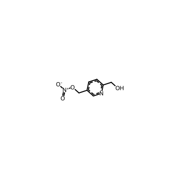 O=[N+]([O-])OCc1ccc(CO)nc1